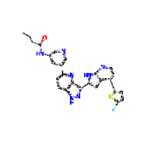 CCCC(=O)Nc1cncc(-c2ccc3[nH]nc(-c4cc5c(-c6ccc(F)s6)ccnc5[nH]4)c3n2)c1